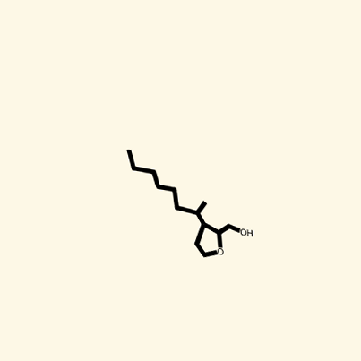 CCCCCCC(C)C1CCOC1CO